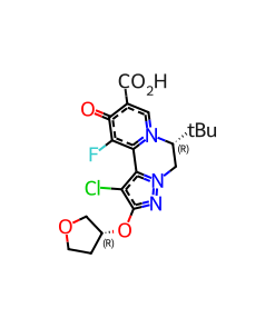 CC(C)(C)[C@@H]1Cn2nc(O[C@@H]3CCOC3)c(Cl)c2-c2c(F)c(=O)c(C(=O)O)cn21